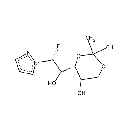 CC1(C)OCC(O)[C@H](C(O)[C@@H](F)n2cccn2)O1